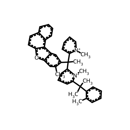 Cc1ccccc1C(C)(C)c1cccc(C(C)(c2cc3c(cc2C)oc2ccc4ccccc4c23)c2cccc[n+]2C)[n+]1C